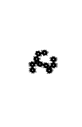 c1ccc(-c2cccc(-c3ccc4c(c3)c3cc(-c5ccc6c(c5)c5ccccc5n6-c5cccc(-c6ccccc6)c5)ccc3n4-c3cccc(-c4ccccc4)c3)c2)cc1